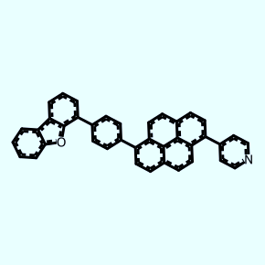 c1ccc2c(c1)oc1c(-c3ccc(-c4ccc5ccc6c(-c7ccncc7)ccc7ccc4c5c76)cc3)cccc12